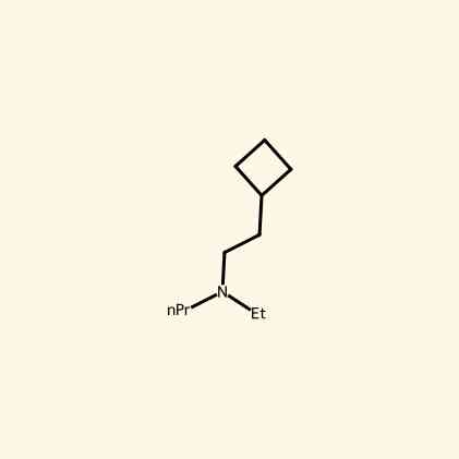 CCCN(CC)CCC1CCC1